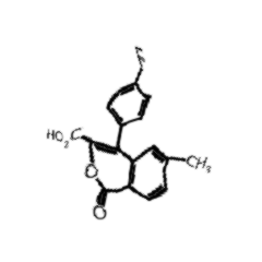 Cc1ccc2c(=O)oc(C(=O)O)c(-c3ccc(F)cc3)c2c1